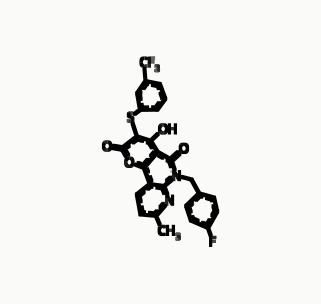 Cc1ccc2c3oc(=O)c(Sc4cccc(C(F)(F)F)c4)c(O)c3c(=O)n(Cc3ccc(F)cc3)c2n1